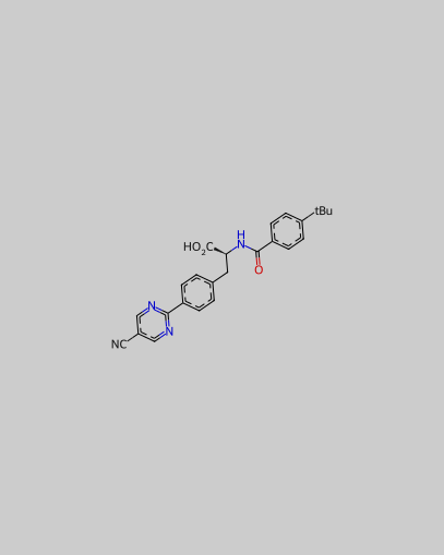 CC(C)(C)c1ccc(C(=O)N[C@@H](Cc2ccc(-c3ncc(C#N)cn3)cc2)C(=O)O)cc1